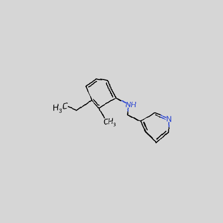 CCc1cccc(NCc2cccnc2)c1C